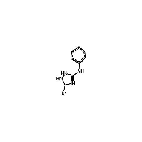 BrC1N=C(Nc2ccccc2)NN1